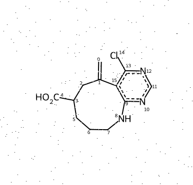 C=C1CC(C(=O)O)CCCNc2ncnc(Cl)c21